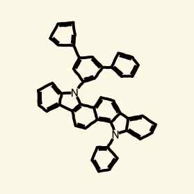 c1ccc(-c2cc(-c3ccccc3)cc(-n3c4ccccc4c4ccc5c(ccc6c7ccccc7n(-c7ccccc7)c65)c43)c2)cc1